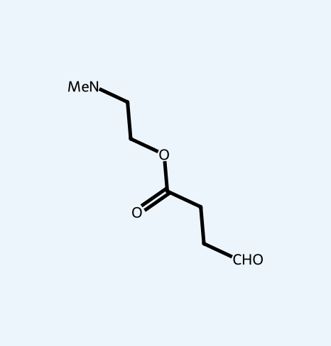 CNCCOC(=O)CCC=O